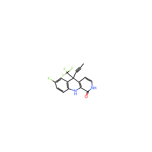 CC#CC1(C(F)(F)F)c2cc(F)ccc2Nc2c1cc[nH]c2=O